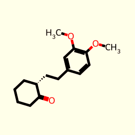 COc1ccc(CC[C@H]2CCCCC2=O)cc1OC